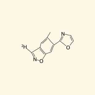 [2H]c1noc2cc(-c3ncco3)c(C)cc12